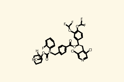 O=C(O[C@H](Cc1c(Cl)cncc1Cl)c1ccc(OC(F)F)c(OC(F)F)c1)c1ccc(CN(C(=O)O[C@H]2CN3CCC2CC3)c2ccccc2F)cc1